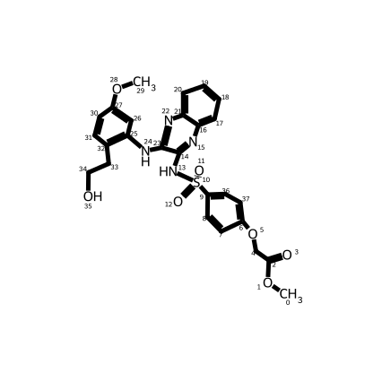 COC(=O)COc1ccc(S(=O)(=O)Nc2nc3ccccc3nc2Nc2cc(OC)ccc2CCO)cc1